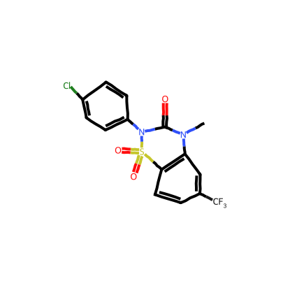 CN1C(=O)N(c2ccc(Cl)cc2)S(=O)(=O)c2ccc(C(F)(F)F)cc21